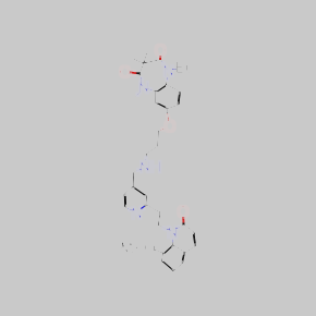 CCN1C(=O)C(C)(C)C(=O)N(C)c2cc(OCCCNCc3ccnc(CCn4c(=O)ccc5cccc(OC)c54)c3)ccc21